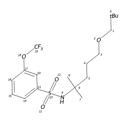 CC(C)(C)COCCCC(C)(C)NS(=O)(=O)c1cccc(OC(F)(F)F)c1